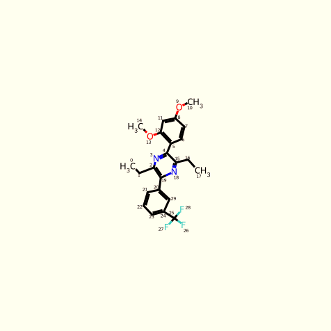 CCc1nc(-c2ccc(OC)cc2OC)c(CC)nc1-c1cccc(C(F)(F)F)c1